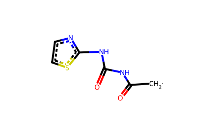 [CH2]C(=O)NC(=O)Nc1nccs1